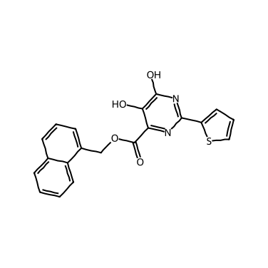 O=C(OCc1cccc2ccccc12)c1nc(-c2cccs2)nc(O)c1O